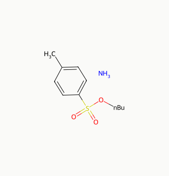 CCCCOS(=O)(=O)c1ccc(C)cc1.N